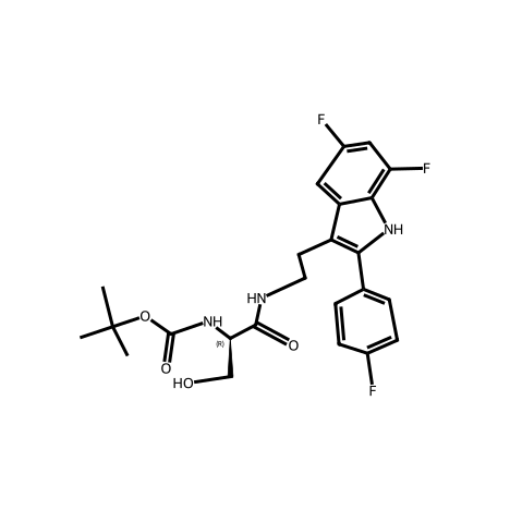 CC(C)(C)OC(=O)N[C@H](CO)C(=O)NCCc1c(-c2ccc(F)cc2)[nH]c2c(F)cc(F)cc12